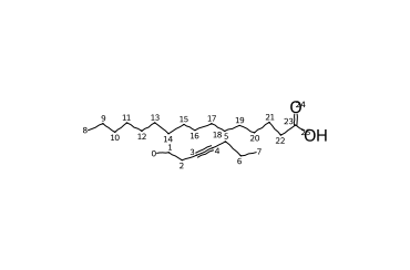 CCCC#CCCC.CCCCCCCCCCCCCCCC(=O)O